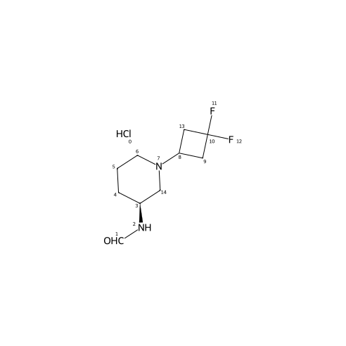 Cl.O=CN[C@H]1CCCN(C2CC(F)(F)C2)C1